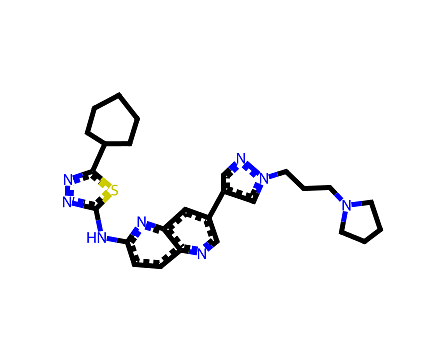 c1nc2ccc(Nc3nnc(C4CCCCC4)s3)nc2cc1-c1cnn(CCCN2CCCC2)c1